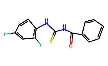 O=C(NC(=S)Nc1ccc(F)cc1F)c1ccccc1